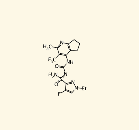 CCn1cc(F)c(S(N)(=O)=NC(=O)Nc2c3c(nc(C)c2C(F)(F)F)CCC3)n1